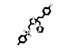 Cc1ccc(S(=O)(=O)OCC2COC(CCc3ccc(Cl)cc3)(Cn3ccnc3)O2)cc1